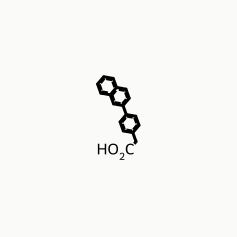 O=C(O)Cc1ccc(-c2ccc3ccccc3c2)cc1